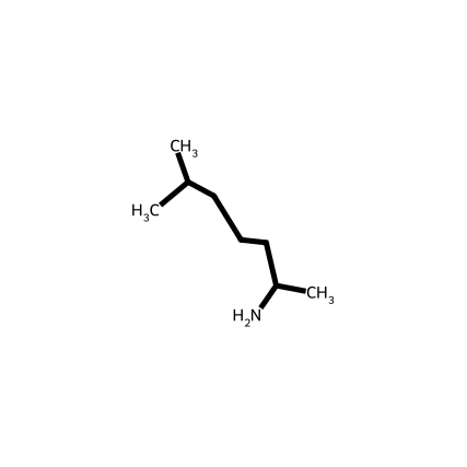 CC(C)CCCC(C)N